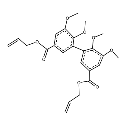 C=CCOC(=O)c1cc(OC)c(OC)c(-c2cc(C(=O)OCC=C)cc(OC)c2OC)c1